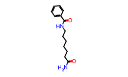 NC(=O)CCCCCCNC(=O)c1ccccc1